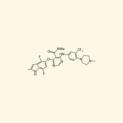 CNC(=O)c1c(Nc2ccc(N3CCN(C)CC3)c(C(F)(F)F)c2)ncnc1Oc1cc(F)c2[nH]c(C)cc2c1F